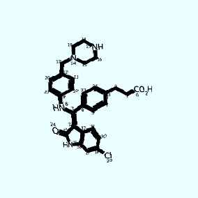 O=C(O)CCc1ccc(/C(Nc2ccc(CN3CCNCC3)cc2)=C2/C(=O)Nc3cc(Cl)ccc32)cc1